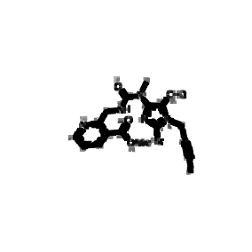 CC#CCn1c(Br)nc(N(C)C(=O)NCc2ncccc2C(=O)OC)c1C=O